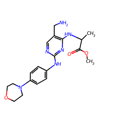 COC(=O)C(C)Nc1nc(Nc2ccc(N3CCOCC3)cc2)ncc1CN